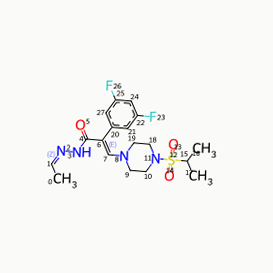 C/C=N\NC(=O)/C(=C/N1CCN(S(=O)(=O)C(C)C)CC1)c1cc(F)cc(F)c1